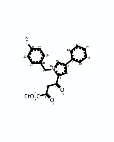 CCOC(=O)C(=O)CC(=O)c1cc(-c2ccccc2)cn1Cc1ccc(F)cc1